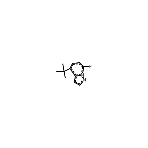 CC(C)(C)c1ccc(F)n2nccc12